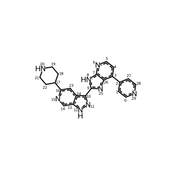 c1cc(-c2ccnc3[nH]c(-c4n[nH]c5cnc(C6CCNCC6)cc45)nc23)ccn1